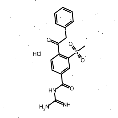 CS(=O)(=O)c1cc(C(=O)NC(=N)N)ccc1C(=O)Cc1ccccc1.Cl